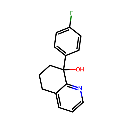 OC1(c2ccc(F)cc2)CCCc2cccnc21